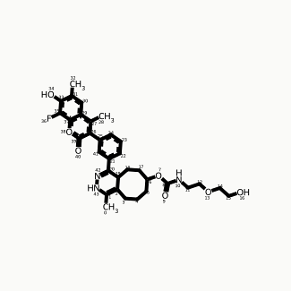 CC1=C2CCCC(OC(=O)NCCOCCO)CCC2C(c2cccc(-c3c(C)c4cc(C)c(O)c(F)c4oc3=O)c2)=NN1